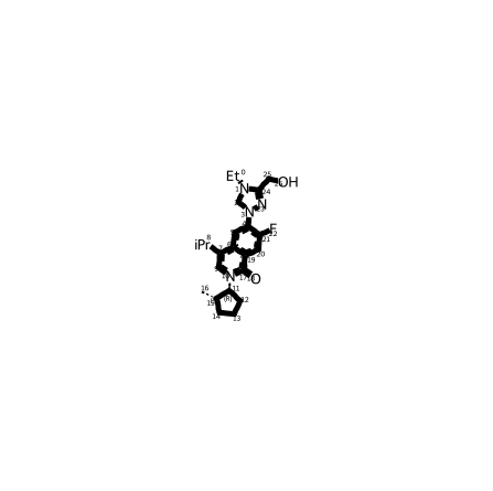 CCN1CN(c2cc3c(C(C)C)cn([C@@H]4CCC[C@@H]4C)c(=O)c3cc2F)N=C1CO